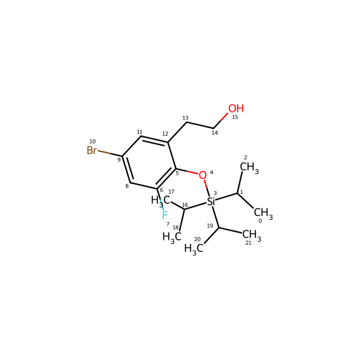 CC(C)[Si](Oc1c(F)cc(Br)cc1CCO)(C(C)C)C(C)C